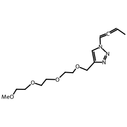 CC=C=Cn1cc(COCCOCCOCCOC)nn1